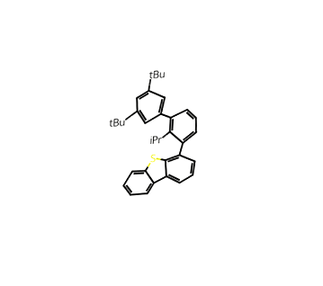 CC(C)c1c(-c2cc(C(C)(C)C)cc(C(C)(C)C)c2)cccc1-c1cccc2c1sc1ccccc12